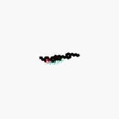 CCCCCC1CC=C(CCc2cc3c(c(F)c2F)-c2c(cc(C4CCC(CCC)CO4)c(F)c2F)C3)CC1